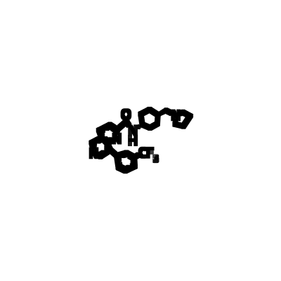 O=C(N[C@H]1CC[C@H](CN2CCCC2)CC1)c1ccc2cncc(-c3cccc(C(F)(F)F)c3)c2n1